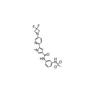 Cn1cc(C(=O)Nc2cccc(NS(C)(=O)=O)c2)cc1-c1ccc(N2CC(F)(F)C2)cn1